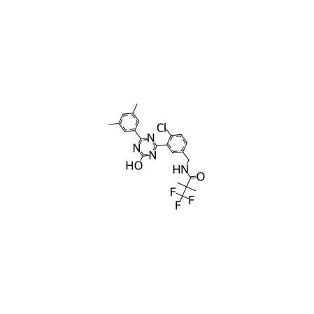 Cc1cc(C)cc(-c2nc(O)nc(-c3cc(CNC(=O)C(C)(C)C(F)(F)F)ccc3Cl)n2)c1